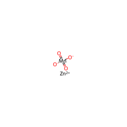 [O]=[Mn](=[O])([O-])[O-].[Zn+2]